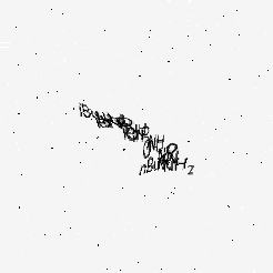 CCCCc1nc2c(N)nc3ccccc3c2n1CCCCNC(=O)CCC(=O)NCC(=O)NCC(=O)NCC(=O)NCC(C)CC